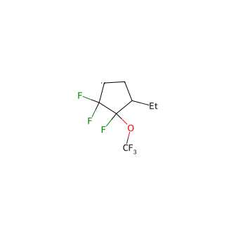 [CH2]CC1C[CH]C(F)(F)C1(F)OC(F)(F)F